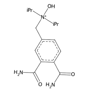 CC(C)[N+](O)(Cc1ccc(C(N)=O)c(C(N)=O)c1)C(C)C